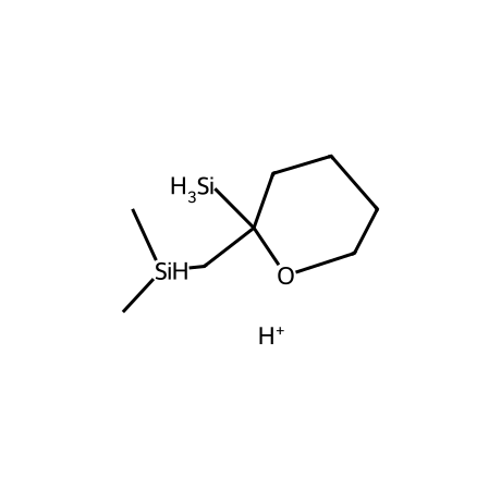 C[SiH](C)CC1([SiH3])CCCCO1.[H+]